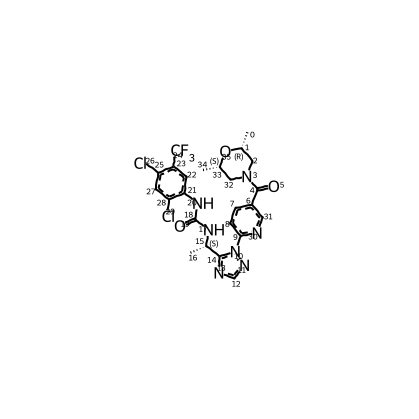 C[C@@H]1CN(C(=O)c2ccc(-n3ncnc3[C@H](C)NC(=O)Nc3cc(C(F)(F)F)c(Cl)cc3Cl)nc2)C[C@H](C)O1